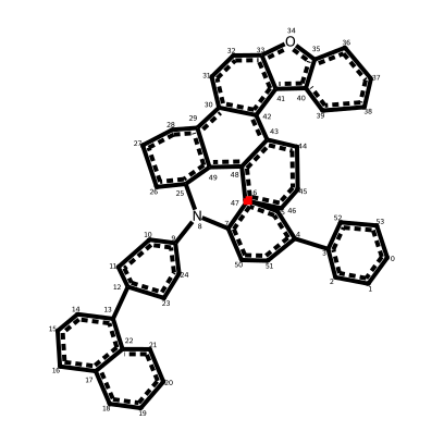 c1ccc(-c2ccc(N(c3ccc(-c4cccc5ccccc45)cc3)c3cccc4c5ccc6oc7ccccc7c6c5c5ccccc5c34)cc2)cc1